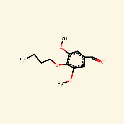 CCCCOc1c(OC)cc(C=O)cc1OC